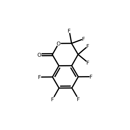 O=C1OC(F)(F)C(F)(F)c2c(F)c(F)c(F)c(F)c21